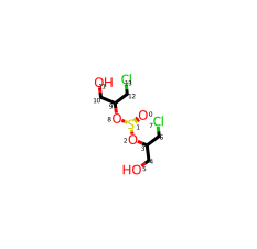 O=S(OC(CO)CCl)OC(CO)CCl